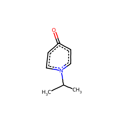 CC(C)n1ccc(=O)cc1